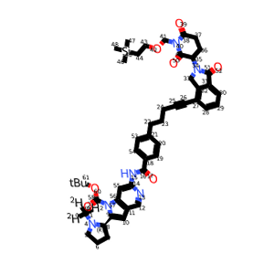 [2H]C([2H])([2H])N1CCC[C@@H]1c1cc2cnc(NC(=O)c3ccc(CCCC#Cc4cccc5c4CN(C4CCC(=O)N(COCC[Si](C)(C)C)C4=O)C5=O)cc3)cc2n1C(=O)OC(C)(C)C